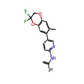 C=C(Nc1ccc(-c2cc3c(cc2C)OCC(F)(F)O3)cn1)C(C)C